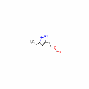 CCc1cc(CCOC=O)[nH]n1